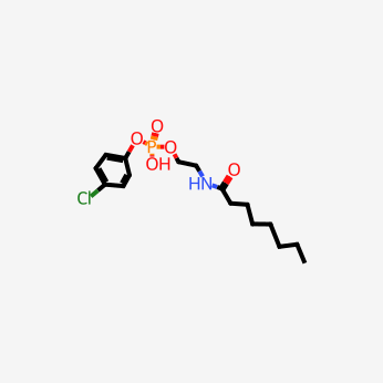 CCCCCCCC(=O)NCCOP(=O)(O)Oc1ccc(Cl)cc1